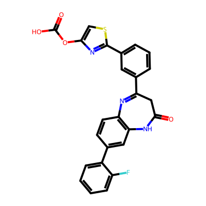 O=C1CC(c2cccc(-c3nc(OC(=O)O)cs3)c2)=Nc2ccc(-c3ccccc3F)cc2N1